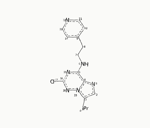 CC(C)c1cnc2c(NCCc3ccncc3)nc(Cl)nn12